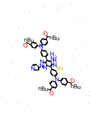 CCCCC(=O)c1ccc(N(c2ccc(C(=O)CCCC)cc2)c2ccc(-c3c(N)c(NS)c(-c4ccc(N(c5ccc(C(=O)CCCC)cc5)c5ccc(C(=O)CCCC)cc5)cc4)c4nn(-c5ccncc5)nc34)cc2)cc1